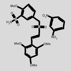 COc1cc(OC)c(C=CS(=O)(=O)Cc2ccc(OC)c(S(N)(=O)=O)c2)c(OC)c1.O=[N+]([O-])c1cccc([N+](=O)[O-])c1